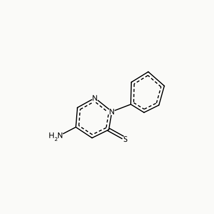 Nc1cnn(-c2ccccc2)c(=S)c1